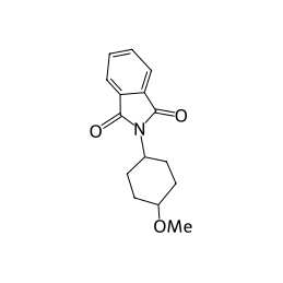 COC1CCC(N2C(=O)c3ccccc3C2=O)CC1